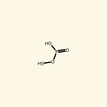 O=[P](O)OS